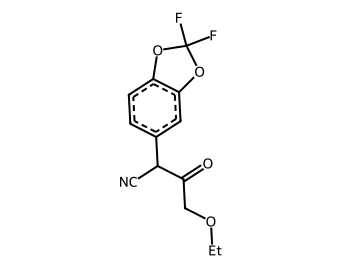 CCOCC(=O)C(C#N)c1ccc2c(c1)OC(F)(F)O2